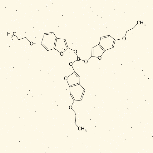 CCCOc1ccc2cc(OB(Oc3cc4ccc(OCCC)cc4o3)Oc3cc4ccc(OCCC)cc4o3)oc2c1